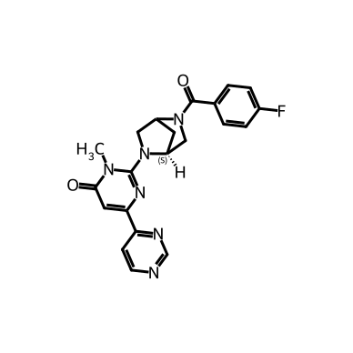 Cn1c(N2CC3C[C@H]2CN3C(=O)c2ccc(F)cc2)nc(-c2ccncn2)cc1=O